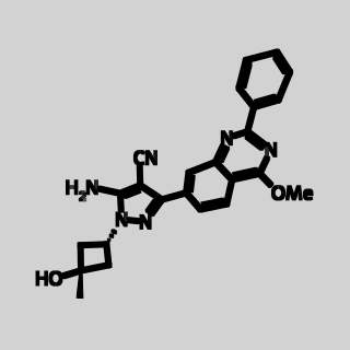 COc1nc(-c2ccccc2)nc2cc(-c3nn([C@H]4C[C@@](C)(O)C4)c(N)c3C#N)ccc12